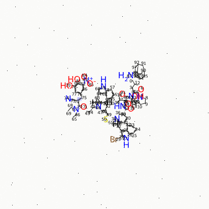 CC(C)C[C@H]1C(=O)N2CCC[C@H]2[C@]2(O)O[C@](NC(=O)[C@@H]3C=C4c5cccc6[nH]c(Br)c(c56)C[C@H]4N(C)C3)(C(C)C)C(=O)N12.CCCN1C[C@H](CSC)C[C@@H]2c3cccc4[nH]cc(c34)C[C@H]21.CCN(CC)C(=O)/C(C#N)=C/c1cc(O)c(O)c([N+](=O)[O-])c1.NC12CC3CC(CC(C3)C1)C2